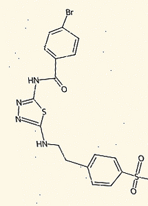 NS(=O)(=O)c1ccc(CCNc2nnc(NC(=O)c3ccc(Br)cc3)s2)cc1